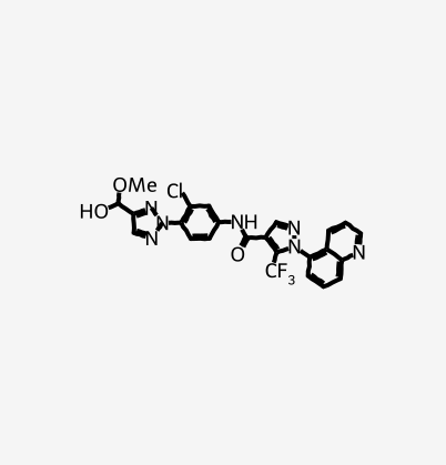 COC(O)c1cnn(-c2ccc(NC(=O)c3cnn(-c4cccc5ncccc45)c3C(F)(F)F)cc2Cl)n1